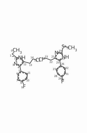 CSc1nc(-c2ccc(F)cc2)c(CCCl)[nH]1.CSc1nc(CCCl)c(-c2ccc(F)cc2)[nH]1